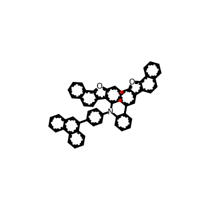 c1ccc(N(c2ccc(-c3cc4ccccc4c4ccccc34)cc2)c2cccc3oc4c5ccccc5ccc4c23)c(-c2ccc3oc4c5ccccc5ccc4c3c2)c1